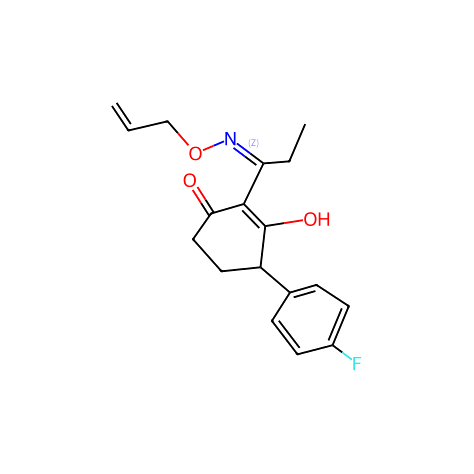 C=CCO/N=C(/CC)C1=C(O)C(c2ccc(F)cc2)CCC1=O